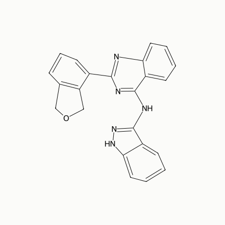 c1cc2c(c(-c3nc(Nc4n[nH]c5ccccc45)c4ccccc4n3)c1)COC2